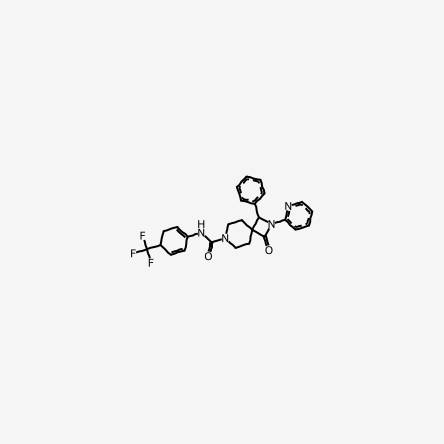 O=C(NC1=CCC(C(F)(F)F)C=C1)N1CCC2(CC1)C(=O)N(c1ccccn1)C2c1ccccc1